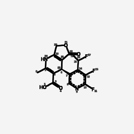 CC1=C(C(=O)O)[C@H](c2cnc(F)c(F)c2C(C)F)C2=C(COC2=O)N1